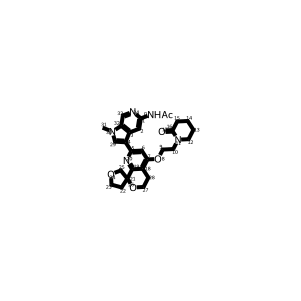 CC(=O)Nc1cc2c(-c3cc(OCCN4CCCCC4=O)c4c(n3)C3(CCOC3)OCC4)cn(C)c2cn1